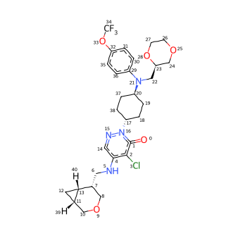 O=c1c(Cl)c(NC[C@@H]2COC[C@@H]3C[C@H]23)cnn1[C@H]1CC[C@H](N(C[C@@H]2COCCO2)c2ccc(OC(F)(F)F)cc2)CC1